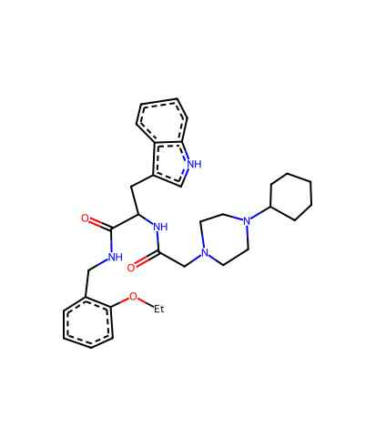 CCOc1ccccc1CNC(=O)C(Cc1c[nH]c2ccccc12)NC(=O)CN1CCN(C2CCCCC2)CC1